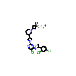 CCC1(C(=O)O)CC(N2CCCC(C3CN(c4ncc(Cl)c(NC(C)c5ccc(Cl)cc5Cl)n4)C3)C2)C1